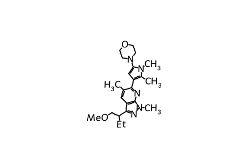 CCC(COC)c1nn(C)c2nc(-c3cc(N4CCOCC4)n(C)c3C)c(C)cc12